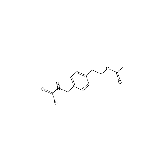 CC(=O)OCCc1ccc(CNC(=O)[S])cc1